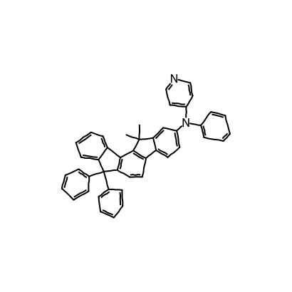 CC1(C)c2cc(N(c3ccccc3)c3ccncc3)ccc2-c2ccc3c(c21)-c1ccccc1C3(c1ccccc1)c1ccccc1